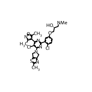 CNC[C@@H](O)COc1ccc(Cl)c(-c2nc(-c3c(C)noc3C)c(Cl)c(N3Cc4nc(C)sc4C3)n2)c1